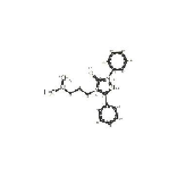 CN(C)CCCn1c(-c2ccccc2)nn(-c2ccccc2)c1=O